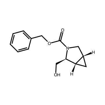 O=C(OCc1ccccc1)N1C[C@@H]2C[C@@H]2[C@H]1CO